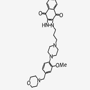 COc1cc(CN2CCOCC2)ccc1N1CCN(CCCn2[nH]c3c2C(=O)c2ccccc2C3=O)CC1